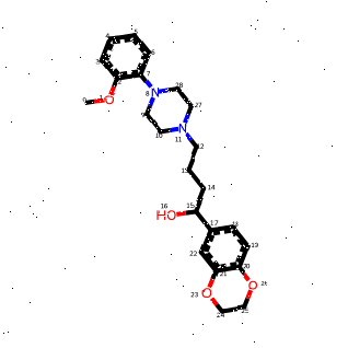 COc1ccccc1N1CCN(CCCC(O)c2ccc3c(c2)OCCO3)CC1